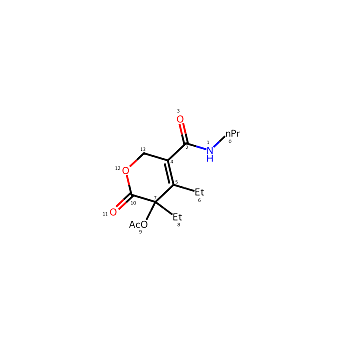 CCCNC(=O)C1=C(CC)C(CC)(OC(C)=O)C(=O)OC1